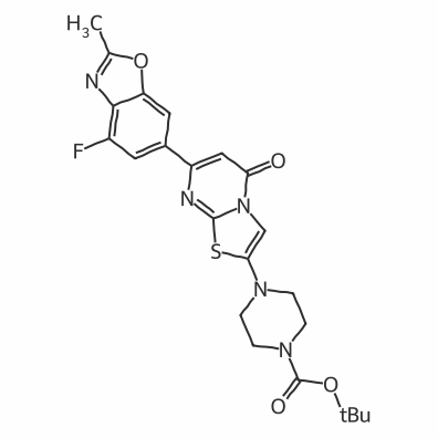 Cc1nc2c(F)cc(-c3cc(=O)n4cc(N5CCN(C(=O)OC(C)(C)C)CC5)sc4n3)cc2o1